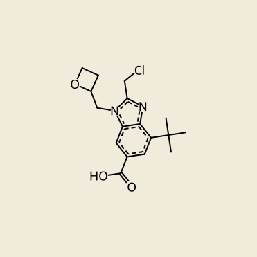 CC(C)(C)c1cc(C(=O)O)cc2c1nc(CCl)n2CC1CCO1